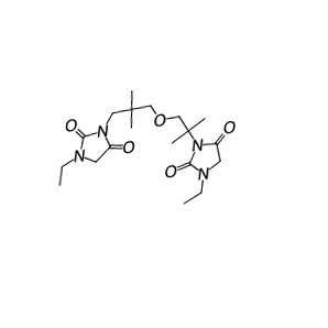 CCN1CC(=O)N(CC(C)(C)COCC(C)(C)N2C(=O)CN(CC)C2=O)C1=O